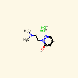 CN(C)CCn1ncccc1=O.Cl.Cl